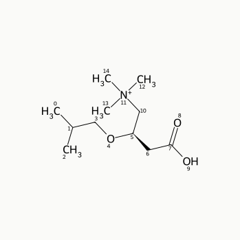 CC(C)CO[C@H](CC(=O)O)C[N+](C)(C)C